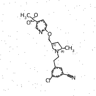 C[C@@H]1C[C@H](COc2ccc(S(C)(=O)=O)cn2)CN1CCc1cc(Cl)cc(C#N)c1